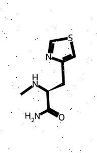 CN[C@@H](Cc1cscn1)C(N)=O